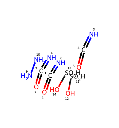 N=C=O.N=C=O.N=C=O.NN.O=S(=O)(O)O.O=S(=O)(O)O